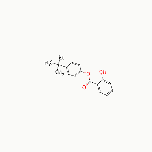 CCC(C)(C)c1ccc(OC(=O)c2ccccc2O)cc1